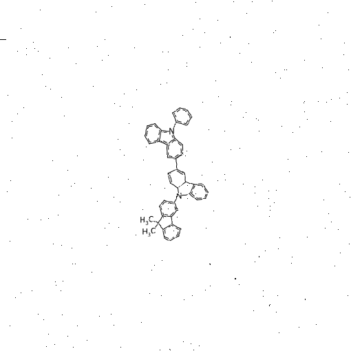 CC1(C)c2ccccc2-c2cc(N3c4ccccc4C4C=C(c5ccc6c(c5)c5ccccc5n6-c5ccccc5)C=CC43)ccc21